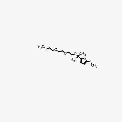 COCCOCCOCCOC(C)(C)c1ccc(SC)s1